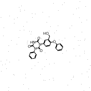 O=c1[nH]c(=O)n(-c2ccc(Oc3ccccc3)c(CO)c2)c(=O)n1-c1ccccc1